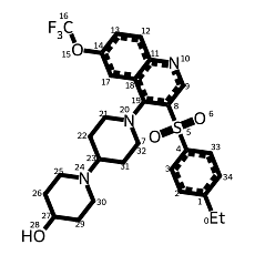 CCc1ccc(S(=O)(=O)c2cnc3ccc(OC(F)(F)F)cc3c2N2CCC(N3CCC(O)CC3)CC2)cc1